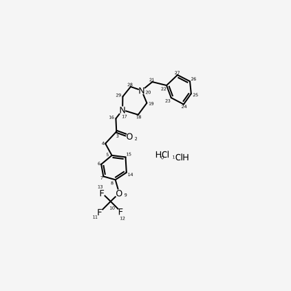 Cl.Cl.O=C(Cc1ccc(OC(F)(F)F)cc1)CN1CCN(Cc2ccccc2)CC1